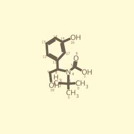 CC(C)(C)N(C(=O)O)C(CO)c1cccc(O)c1